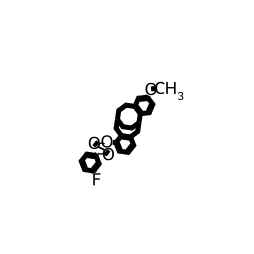 COc1ccc2c(c1)CCC1CCC2Cc2cccc(OS(=O)(=O)c3cccc(F)c3)c2C1